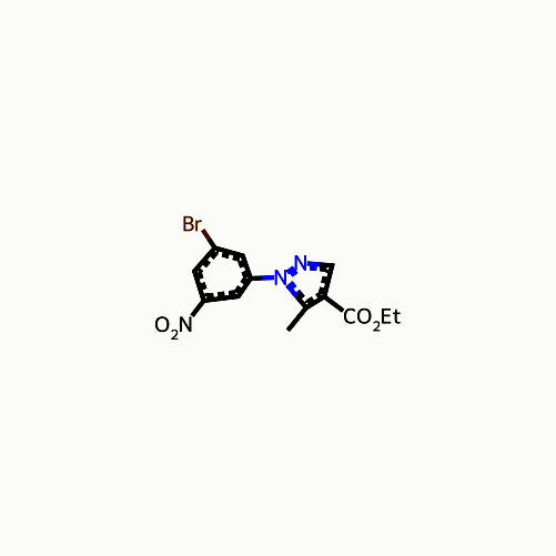 CCOC(=O)c1cnn(-c2cc(Br)cc([N+](=O)[O-])c2)c1C